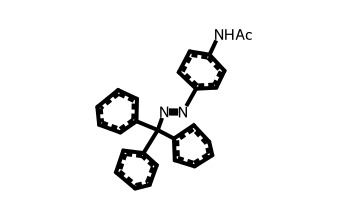 CC(=O)Nc1ccc(N=NC(c2ccccc2)(c2ccccc2)c2ccccc2)cc1